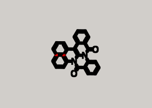 O=c1c2ccccc2n2c(=O)c3ccccc3c(-c3ccccc3)c2n1-c1ccccc1